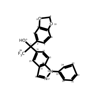 OC(c1ccc2c(c1)OCO2)(c1ccc2c(cnn2-c2ccccc2)c1)C(F)(F)F